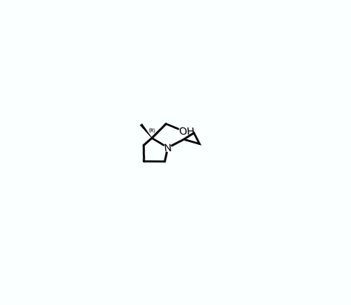 C[C@]1(CO)CCCN1C1CC1